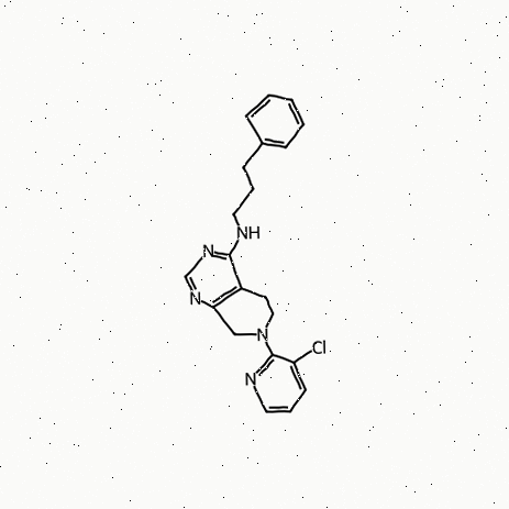 Clc1cccnc1N1CCc2c(ncnc2NCCCc2ccccc2)C1